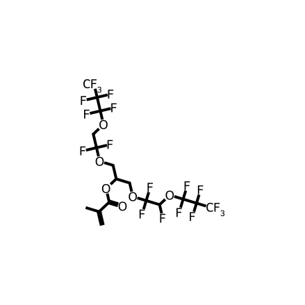 C=C(C)C(=O)OC(COC(F)(F)COC(F)(F)C(F)(F)C(F)(F)F)COC(F)(F)C(F)OC(F)(F)C(F)(F)C(F)(F)F